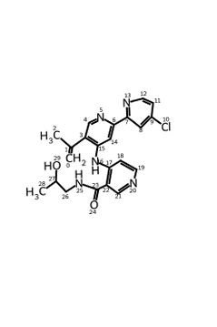 C=C(C)c1cnc(-c2cc(Cl)ccn2)cc1Nc1ccncc1C(=O)NCC(C)O